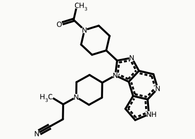 CC(=O)N1CCC(c2nc3cnc4[nH]ccc4c3n2C2CCN(C(C)CC#N)CC2)CC1